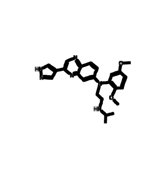 COc1ccc(OC)c(N(CCNC(C)C)c2ccc3ncc(-c4cn[nH]c4)nc3c2)c1